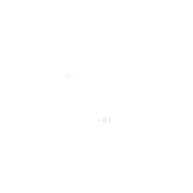 CC(C)CCC(C)(O)C#CO